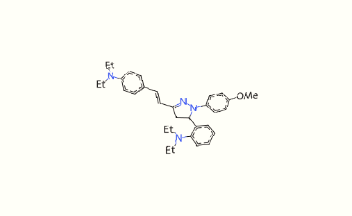 CCN(CC)c1ccc(/C=C/C2=NN(c3ccc(OC)cc3)C(c3ccccc3N(CC)CC)C2)cc1